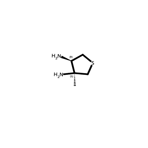 C[C@@]1(N)CSC[C@@H]1N